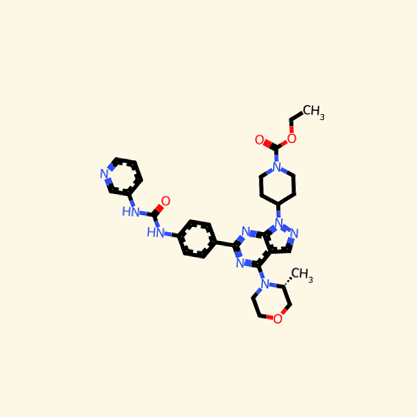 CCOC(=O)N1CCC(n2ncc3c(N4CCOC[C@H]4C)nc(-c4ccc(NC(=O)Nc5cccnc5)cc4)nc32)CC1